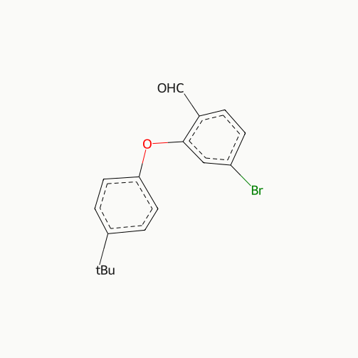 CC(C)(C)c1ccc(Oc2cc(Br)ccc2C=O)cc1